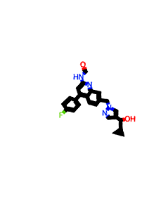 O=CNc1cc(-c2ccc(F)cc2)c2ccc(Cn3cc(C(O)C4CC4)cn3)cc2n1